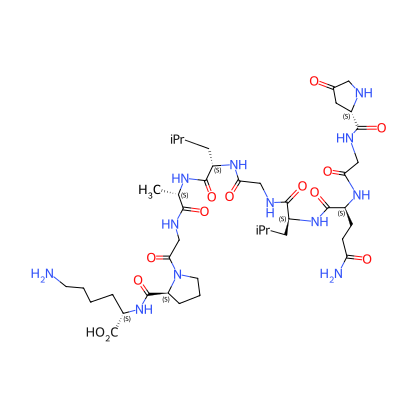 CC(C)C[C@H](NC(=O)CNC(=O)[C@H](CC(C)C)NC(=O)[C@H](CCC(N)=O)NC(=O)CNC(=O)[C@@H]1CC(=O)CN1)C(=O)N[C@@H](C)C(=O)NCC(=O)N1CCC[C@H]1C(=O)N[C@@H](CCCCN)C(=O)O